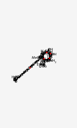 CCC(=O)N[C@H](C(=O)NCC(=O)N[C@H]1C[S+]([O-])c2[nH]c3c(CSCCOCCOCCOCCOCCOCCOCCOCCN/C=C(\N)CN4C(=O)CCC4=O)c(OC)ccc3c2C[C@@H](C(N)=O)NC(=O)[C@H]([C@@H](C)[C@@H](O)CO)NC(=O)[C@@H]2C[C@@H](O)CN2C(=O)[C@H](CC(N)=O)NC1=O)[C@@H](C)CC